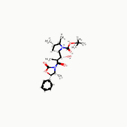 CC(C(=O)N1C(=O)O[C@@H](c2ccccc2)[C@H]1C)[C@@H](O)[C@@H]1C[C@H](C)C(C)N1C(=O)OC(C)(C)C